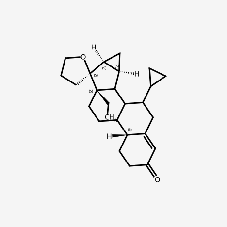 CC[C@]12CCC3C(C(C4CC4)CC4=CC(=O)CC[C@@H]43)C1[C@@H]1C[C@@H]1[C@@]21CCCO1